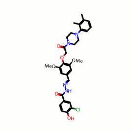 COc1cc(/C=N/NC(=O)c2ccc(O)c(Cl)c2)cc(OC)c1OCC(=O)N1CCN(c2cccc(C)c2C)CC1